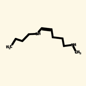 CCCCN/C=C\CCCNC